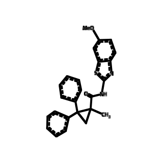 COc1ccc2nc(NC(=O)C3(C)CC3(c3ccccc3)c3ccccc3)sc2c1